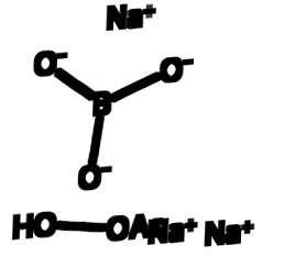 CC(=O)OO.[Na+].[Na+].[Na+].[O-]B([O-])[O-]